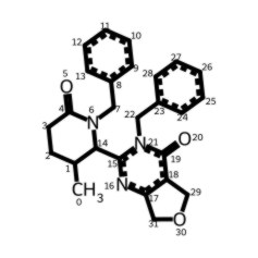 CC1CCC(=O)N(Cc2ccccc2)C1c1nc2c(c(=O)n1Cc1ccccc1)COC2